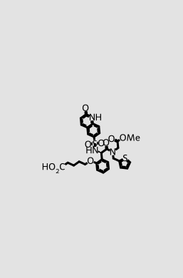 COC(=O)CN(Cc1cccs1)C(=O)[C@H](NS(=O)(=O)c1ccc2[nH]c(=O)ccc2c1)c1ccccc1OCCCCC(=O)O